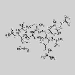 CC[C@H](C)[C@H](NC(=O)[C@H](CCC(=O)O)NC(=O)[C@H](CC(N)=O)NC(C)=O)C(=O)N[C@@H](CCCNC(=N)N)C(=O)N[C@H](C(=O)N[C@@H](CCC(N)=O)C(N)=O)C(C)C